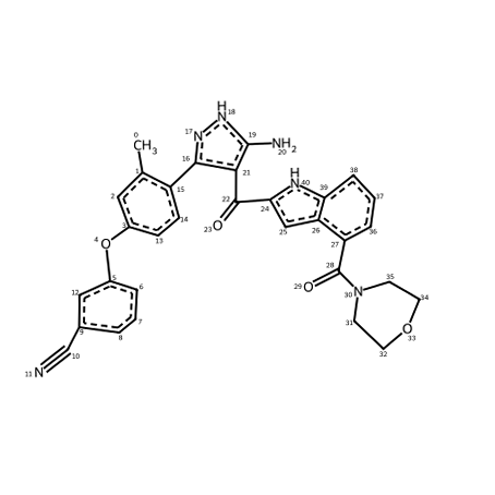 Cc1cc(Oc2cccc(C#N)c2)ccc1-c1n[nH]c(N)c1C(=O)c1cc2c(C(=O)N3CCOCC3)cccc2[nH]1